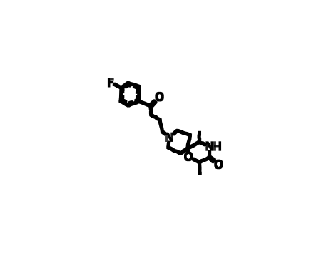 CC1OC2(CCN(CCCC(=O)c3ccc(F)cc3)CC2)C(C)NC1=O